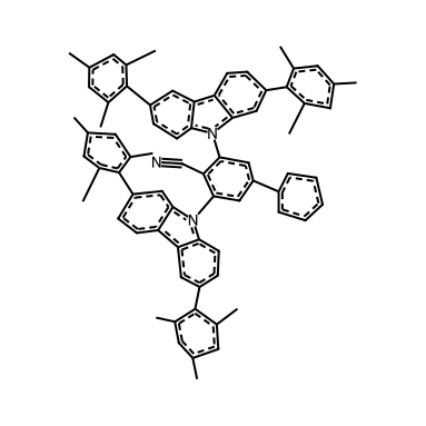 Cc1cc(C)c(-c2ccc3c(c2)c2ccc(-c4c(C)cc(C)cc4C)cc2n3-c2cc(-c3ccccc3)cc(-n3c4ccc(-c5c(C)cc(C)cc5C)cc4c4ccc(-c5c(C)cc(C)cc5C)cc43)c2C#N)c(C)c1